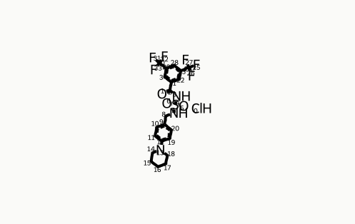 Cl.O=C(NS(=O)(=O)NCc1ccc(N2CCCCC2)cc1)c1cc(C(F)(F)F)cc(C(F)(F)F)c1